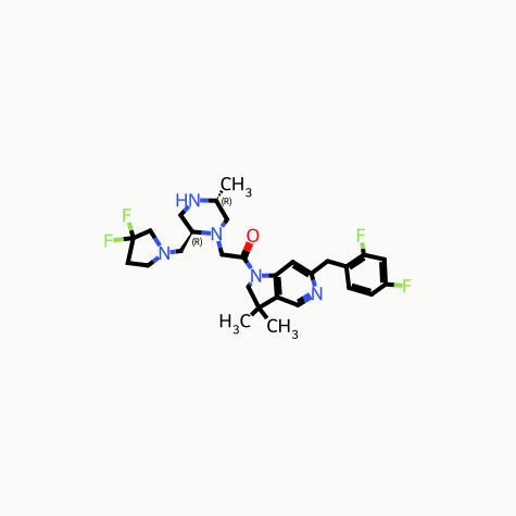 C[C@@H]1CN(CC(=O)N2CC(C)(C)c3cnc(Cc4ccc(F)cc4F)cc32)[C@@H](CN2CCC(F)(F)C2)CN1